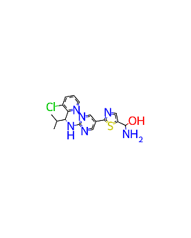 CC(C)[C@@H](Nc1ncc(-c2ncc(C(N)O)s2)cn1)c1ncccc1Cl